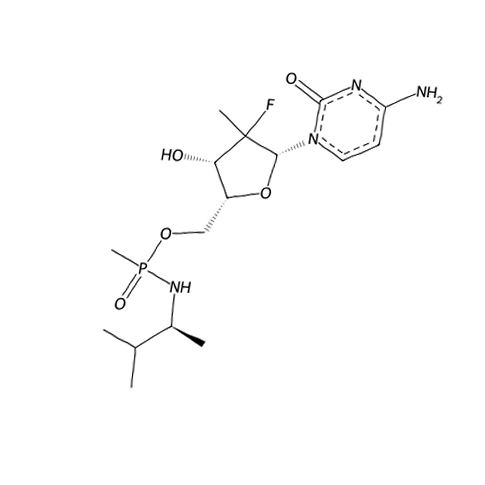 CC(C)[C@H](C)NP(C)(=O)OC[C@H]1O[C@@H](n2ccc(N)nc2=O)C(C)(F)[C@H]1O